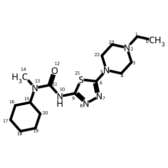 CCN1CCN(c2nnc(NC(=O)N(C)C3CCCCC3)s2)CC1